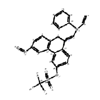 C=CN(/C=C1\Cc2ccc(N=O)cc2-c2cc(OS(=O)(=O)C(F)(F)F)ccc21)c1ccccc1